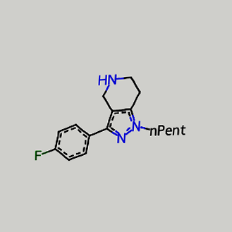 CCCCCn1nc(-c2ccc(F)cc2)c2c1CCNC2